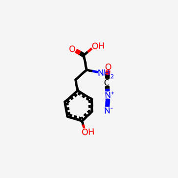 NC(Cc1ccc(O)cc1)C(=O)O.[N-]=[N+]=C=O